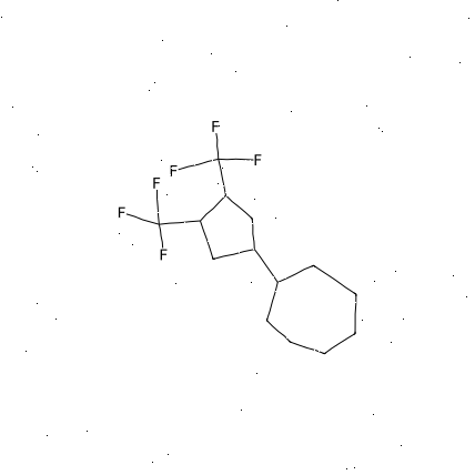 FC(F)(F)C1CC(C2CCCCCC2)CC1C(F)(F)F